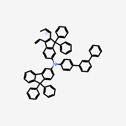 C=CC1=C(/C=C\C)C(c2ccccc2)(c2ccccc2)c2cc(N(c3ccc(-c4cccc(-c5ccccc5)c4)cc3)c3ccc4c(c3)-c3ccccc3C4(c3ccccc3)c3ccccc3)ccc21